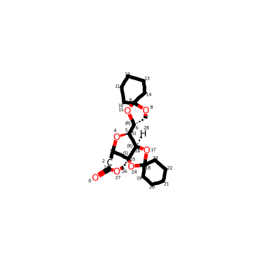 O=C1CC2O[C@@H]([C@H]3COC4(CCCCC4)O3)[C@H]3OC4(CCCCC4)O[C@@]23CO1